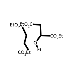 CCOC(=O)CC(OCC)C(=O)OCC.CCOC(=O)CCC(=O)OCC